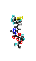 C=C(F)C(=O)OC(OCCCCC(F)(F)C(F)(F)S)(C(=O)NC)C(F)(F)F